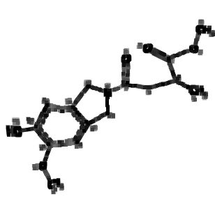 COC(=O)C(C)CC(=O)N1Cc2cc(O)c(OC)cc2C1